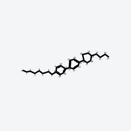 CCCCCCCCc1ccc(-c2ccc(C3CCC(CCCC)CC3)cc2)cc1